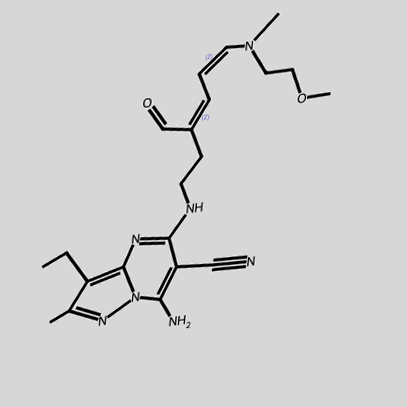 CCc1c(C)nn2c(N)c(C#N)c(NCC/C(C=O)=C/C=C\N(C)CCOC)nc12